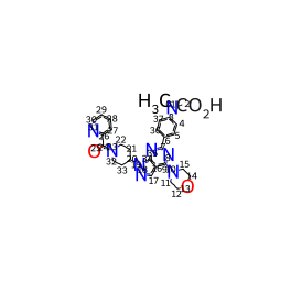 CN(C(=O)O)c1ccc(-c2nc(N3CCOCC3)c3cnn(C4CCN(C(=O)c5ccccn5)CC4)c3n2)cc1